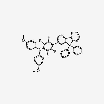 COc1ccc(N(c2ccc(OC)cc2)c2c(F)c(F)c(-c3ccc4c(c3)C(c3ccccc3)(c3ccccc3)c3ccccc3-4)c(F)c2F)cc1